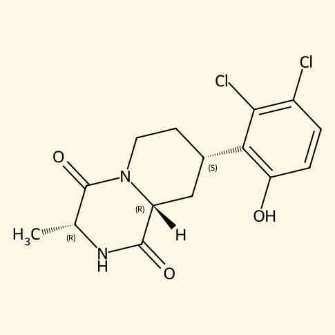 C[C@H]1NC(=O)[C@H]2C[C@@H](c3c(O)ccc(Cl)c3Cl)CCN2C1=O